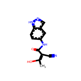 C/C(O)=C(\C#N)C(=O)Nc1ccc2[nH]ncc2c1